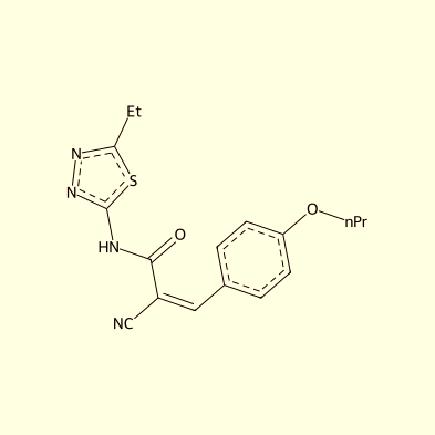 CCCOc1ccc(C=C(C#N)C(=O)Nc2nnc(CC)s2)cc1